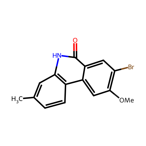 COc1cc2c(cc1Br)c(=O)[nH]c1cc(C)ccc12